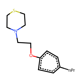 CCCc1ccc(OCCN2CCSCC2)cc1